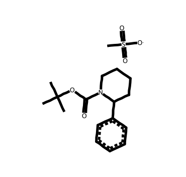 CC(C)(C)OC(=O)N1CCCCC1c1ccccc1.CS([O])(=O)=O